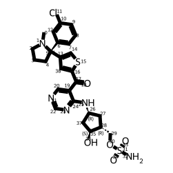 CN1CCC[C@@]1(c1cccc(Cl)c1)c1csc(C(=O)c2cncnc2N[C@@H]2C[C@H](COS(N)(=O)=O)[C@@H](O)C2)c1